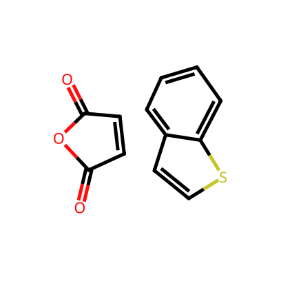 O=C1C=CC(=O)O1.c1ccc2sccc2c1